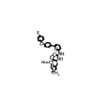 COC(=O)[C@H](Cc1cn(C)cn1)NC(=O)Nc1cccc(-c2ccc(Oc3ccc(F)cc3)cc2)n1